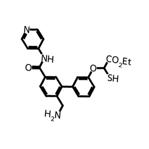 CCOC(=O)C(S)Oc1cccc(-c2cc(C(=O)Nc3ccncc3)ccc2CN)c1